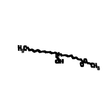 CCCCCCCCCCCCN(CCO)CCCCCCCCCC(=O)OCCC